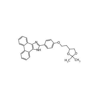 CC1(C)OCC(CCOc2ccc(-c3nc4c5ccccc5c5ccccc5c4[nH]3)cc2)O1